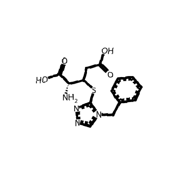 N[C@H](C(=O)O)C(CC(=O)O)Sc1nncn1Cc1ccccc1